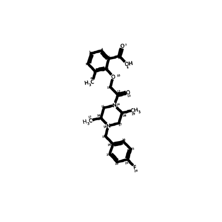 Cc1cccc(C(=O)O)c1OCC(=O)N1CC(C)N(Cc2ccc(F)cc2)CC1C